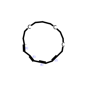 [C]1=C/C=C/C=C/C=C\CCCCCCCCCCC/1